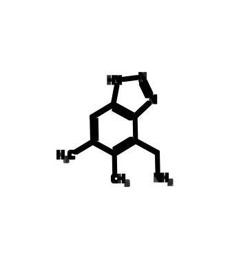 Cc1cc2[nH]nnc2c(CN)c1C